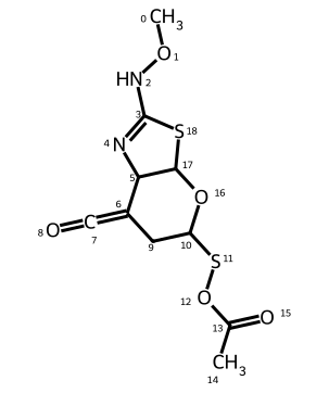 CONC1=NC2C(=C=O)CC(SOC(C)=O)OC2S1